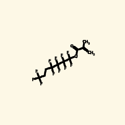 C=C(C)C(=O)OC(F)(F)C(F)(F)C(F)(F)C(F)(F)CCC(F)(F)F